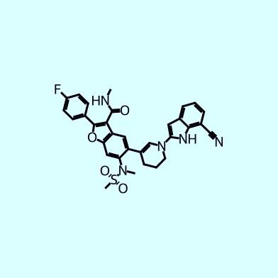 CNC(=O)c1c(-c2ccc(F)cc2)oc2cc(N(C)S(C)(=O)=O)c(C3=CN(c4cc5cccc(C#N)c5[nH]4)CCC3)cc12